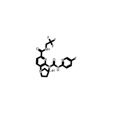 O=C(NCC(F)(F)F)c1ccc2c(n1)N(C(=O)Nc1ccc(F)cn1)[C@H]1CCN2C1